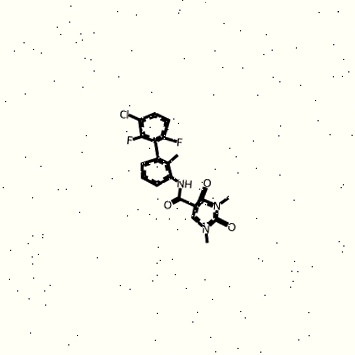 Cc1c(NC(=O)c2cn(C)c(=O)n(C)c2=O)cccc1-c1c(F)ccc(Cl)c1F